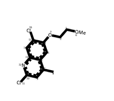 COCCOc1cc2c(C)cc(Cl)nc2cc1Cl